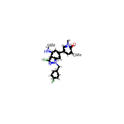 COc1cc(-c2cc(NSC)c3c(F)nn(Cc4ccc(F)cc4)c3c2)cn(C)c1=O